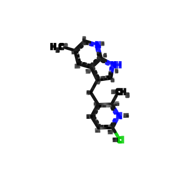 Cc1cnc2[nH]cc(Cc3ccc(Cl)nc3C)c2c1